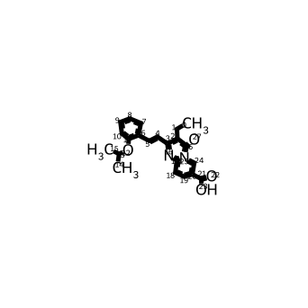 CCc1c(C=Cc2ccccc2OC(C)C)nc2ccc(C(=O)O)cn2c1=O